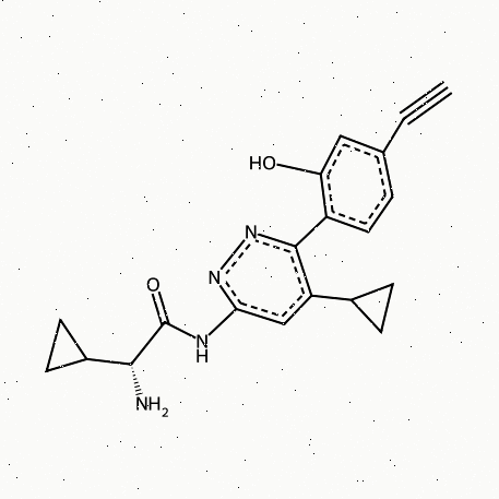 C#Cc1ccc(-c2nnc(NC(=O)[C@H](N)C3CC3)cc2C2CC2)c(O)c1